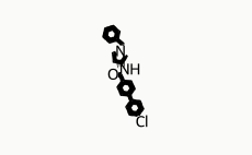 O=C(N[C@@H]1CCN(Cc2ccccc2)C1)c1ccc(-c2ccc(Cl)cc2)cc1